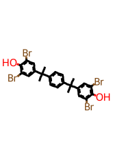 CC(C)(c1ccc(C(C)(C)c2cc(Br)c(O)c(Br)c2)cc1)c1cc(Br)c(O)c(Br)c1